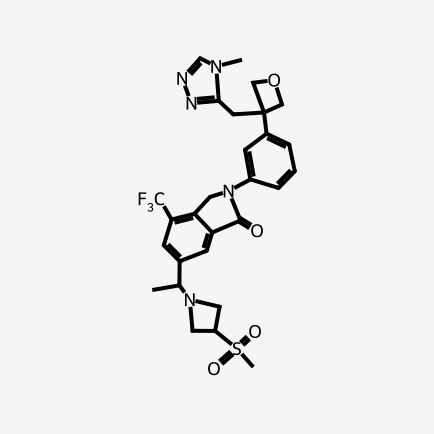 CC(c1cc2c(c(C(F)(F)F)c1)CN(c1cccc(C3(Cc4nncn4C)COC3)c1)C2=O)N1CC(S(C)(=O)=O)C1